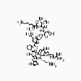 C[C@H](O)[C@H](NC(=O)[C@@H](NC(=O)[C@@H](N)CCCCN)[C@@H](O)CN)C(=O)NCC(=O)/N=C(\CCCN)C(=O)N1CCC[C@H]1C(=O)N[C@@H](Cc1cnc[nH]1)C(=O)N[C@@H](CCCCN)C(=O)N/C(=C\CCNC(=N)N)C(=O)O